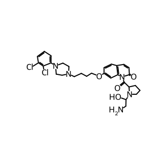 NCC(O)N1CCCC1C(=O)n1c(=O)ccc2ccc(OCCCCN3CCN(c4cccc(Cl)c4Cl)CC3)cc21